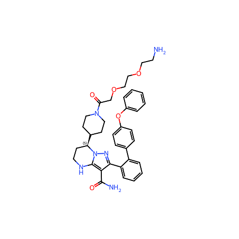 NCCOCCOCC(=O)N1CCC([C@@H]2CCNc3c(C(N)=O)c(-c4ccccc4-c4ccc(Oc5ccccc5)cc4)nn32)CC1